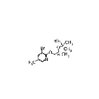 C[C@H](COc1ncc(C(F)(F)F)cc1Br)O[Si](C)(C)C(C)(C)C